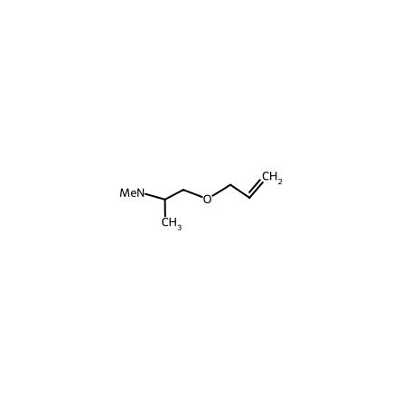 C=CCOCC(C)NC